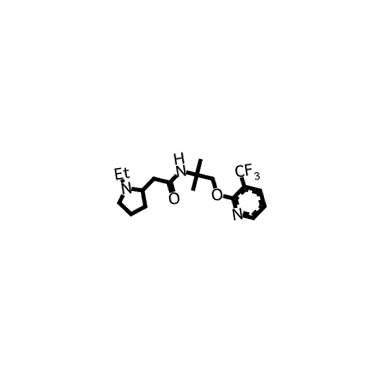 CCN1CCCC1CC(=O)NC(C)(C)COc1ncccc1C(F)(F)F